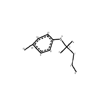 CCCC(C)(C)Sc1ccc(C)cc1